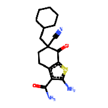 N#CC1(CC2CCCCC2)CCc2c(sc(N)c2C(N)=O)C1=O